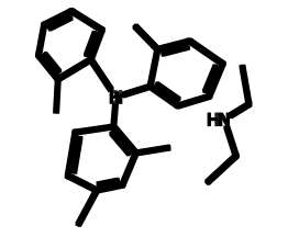 CCNCC.Cc1cc[c]([Bi]([c]2ccccc2C)[c]2ccccc2C)c(C)c1